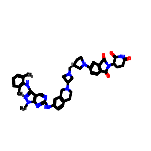 Cc1cccc(C)c1Nc1nn(C)c2nc(Nc3ccc4c(c3)CN(C3CN(C[C@@H]5CCN(c6ccc7c(c6)C(=O)N(C6CCC(=O)NC6=O)C7=O)C5)C3)CC4)ncc12